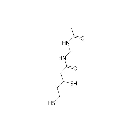 CC(=O)NCNC(=O)CC(S)CCS